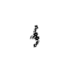 O=c1[nH]c2cc(OCCN3CCC3)ccc2c2ccc(OCCN3CCC3)cc12